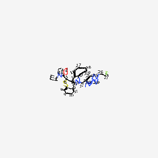 CCN(CC)C(=O)C1Sc2ccccc2-c2c1c1ccccc1n2Cc1cn(CCF)nn1